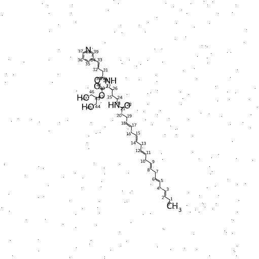 CCC=CCC=CCC=CCC=CCC=CCC=CCCC(=O)NCCC[C@H](NC(=O)CC=Cc1cccnc1)C(=O)OC(CO)CO